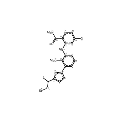 CCOC(C)n1ccc(-c2cccc(Nc3cc(Cl)nnc3C(=O)NC)c2OC)n1